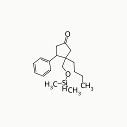 CCCCC1(CO[SiH](C)C)CC(=O)CC1c1ccccc1